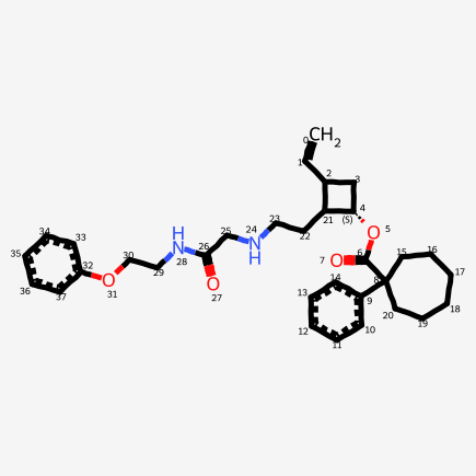 C=CC1C[C@H](OC(=O)C2(c3ccccc3)CCCCCC2)C1CCNCC(=O)NCCOc1ccccc1